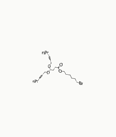 CCCC#CCOC(CCC(=O)OCCCCCCBr)OCC#CCCC